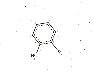 N#Cc1ccccc1[S]